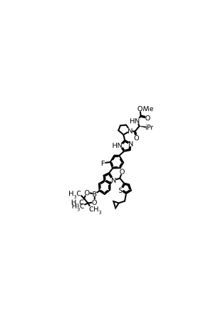 COC(=O)N[C@H](C(=O)N1CCCC1c1ncc(-c2cc(F)c3c(c2)OC(c2ccc(CC4CC4)s2)n2c-3cc3cc(B4OC(C)(C)C(C)(C)O4)ccc32)[nH]1)C(C)C